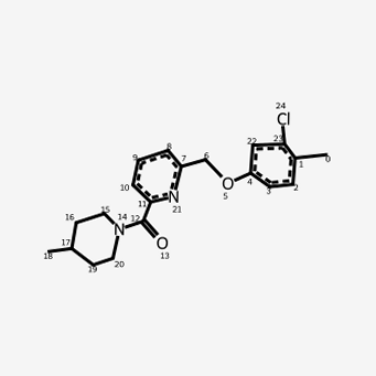 Cc1ccc(OCc2cccc(C(=O)N3CCC(C)CC3)n2)cc1Cl